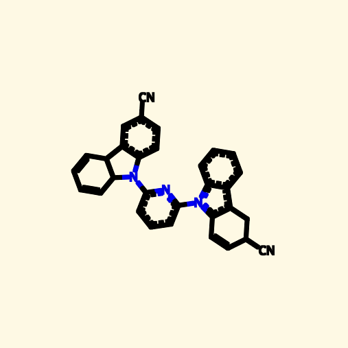 N#Cc1ccc2c(c1)C1C=CC=CC1N2c1cccc(-n2c3c(c4ccccc42)CC(C#N)C=C3)n1